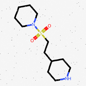 O=S(=O)(CCC1CCNCC1)N1CCCCC1